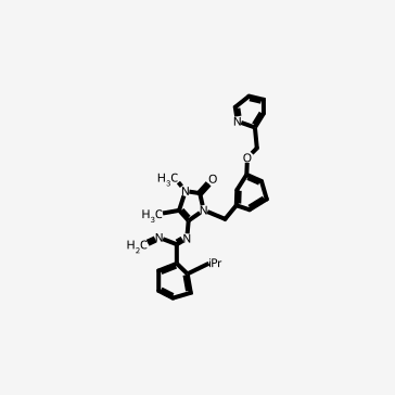 C=N/C(=N\c1c(C)n(C)c(=O)n1Cc1cccc(OCc2ccccn2)c1)c1ccccc1C(C)C